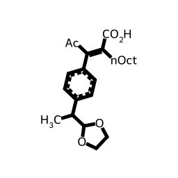 CCCCCCCC/C(C(=O)O)=C(/C(C)=O)c1ccc(C(C)C2OCCO2)cc1